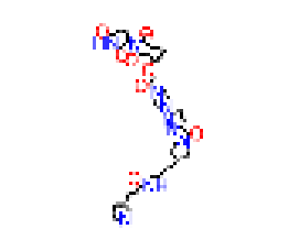 O=C(/C=C/c1cccnc1)NCCCCC1CCN(C(=O)c2ccc(N3CCN(C(=O)COc4cccc5c4C(=O)N(C4CCC(=O)NC4=O)C5=O)CC3)nn2)CC1